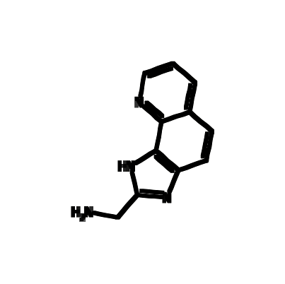 NCc1nc2ccc3cccnc3c2[nH]1